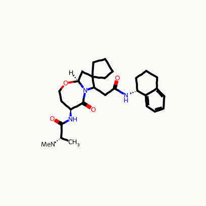 CN[C@@H](C)C(=O)N[C@H]1CCO[C@H]2CC3(CCCC3)C(CC(=O)N[C@@H]3CCCc4ccccc43)N2C1=O